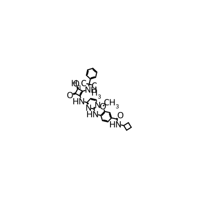 COc1cc(C(=O)NC2CCC2)ccc1Nc1nccc(Nc2c(NC(C)(C)c3ccccc3)c(=O)c2=O)n1